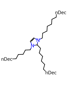 CCCCCCCCCCCCCCCCCN1C=CN(CCCCCCCCCCCCCCC)C1CCCCCCCCCCCCCCCC